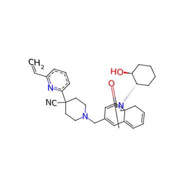 C=Cc1cccc(C2(C#N)CCN(CC3=CC4=CC=CCC45CN([C@H]4CCCC[C@@H]4O)C(=O)C5=C3)CC2)n1